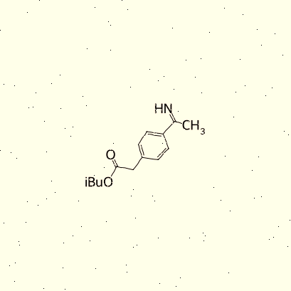 CC(=N)c1ccc(CC(=O)OCC(C)C)cc1